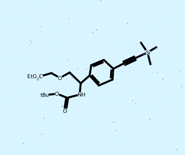 CCOC(=O)COCC(NC(=O)OC(C)(C)C)c1ccc(C#C[Si](C)(C)C)cc1